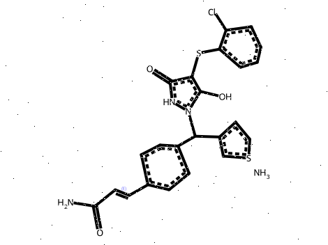 N.NC(=O)/C=C/c1ccc(C(c2ccsc2)n2[nH]c(=O)c(Sc3ccccc3Cl)c2O)cc1